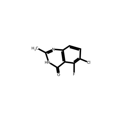 Cc1nc2ccc(Cl)c(F)c2c(=O)[nH]1